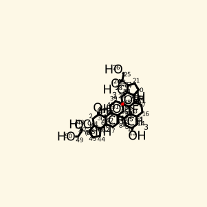 C[C@]12CC(=O)[C@H]3[C@@H](CCC4(C5CC(O)CC6CC[C@H]7[C@@H]8CC[C@H](C(=O)CO)[C@@]8(C)CC(O)[C@]7(F)[C@]65C)CC(O)CC[C@]34C)[C@@H]1CC[C@@H]2C(=O)CO